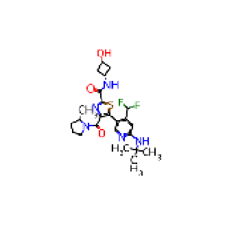 C[C@H]1CCCN1C(=O)c1nc(C(=O)N[C@H]2C[C@H](O)C2)sc1-c1cnc(NC(C)(C)C)cc1C(F)F